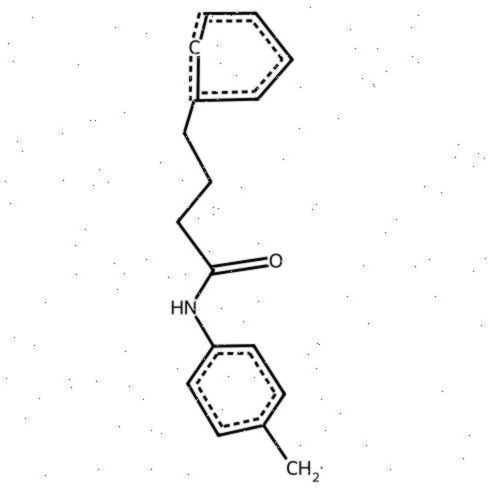 [CH2]c1ccc(NC(=O)CCCc2ccccc2)cc1